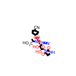 C[C@H](NP(=O)(OC[C@@]1(N=[N+]=[N-])O[C@@H](n2c(=O)cc[nH]c2=O)[C@H](O)[C@@H]1O)Oc1ccc(C#N)cc1)C(=O)O